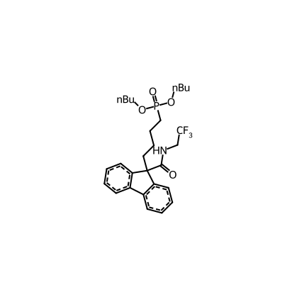 CCCCOP(=O)(CCCCC1(C(=O)NCC(F)(F)F)c2ccccc2-c2ccccc21)OCCCC